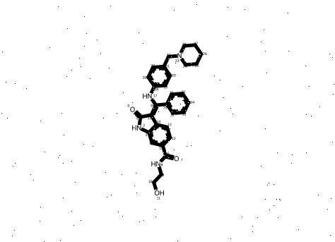 O=C1Nc2cc(C(=O)NCCO)ccc2/C1=C(/Nc1ccc(CN2CCCCC2)cc1)c1ccccc1